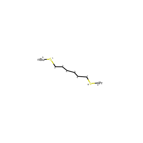 CCCCSCCC[CH]CCSC(C)C